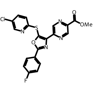 COC(=O)c1cnc(-c2nc(-c3ccc(F)cc3)oc2Sc2ccc(Cl)cn2)cn1